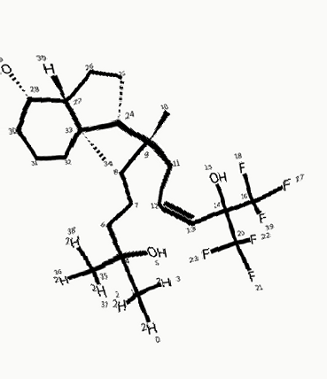 [2H]C([2H])([2H])C(O)(CCC[C@@](C)(C/C=C\C(O)(C(F)(F)F)C(F)(F)F)[C@H]1CC[C@H]2[C@@H](O)CCC[C@]12C)C([2H])([2H])[2H]